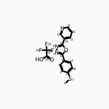 CSc1ccc(-c2nnc(-c3cccnc3)o2)cc1.O=C(O)C(F)(F)F